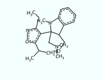 CCc1noc(C(C)C)c1C1(CN(C)C)C(CO)c2ccccc2N1C